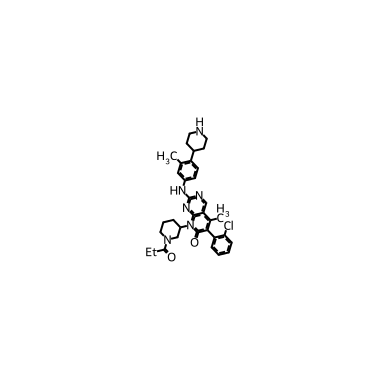 CCC(=O)N1CCCC(n2c(=O)c(-c3ccccc3Cl)c(C)c3cnc(Nc4ccc(C5CCNCC5)c(C)c4)nc32)C1